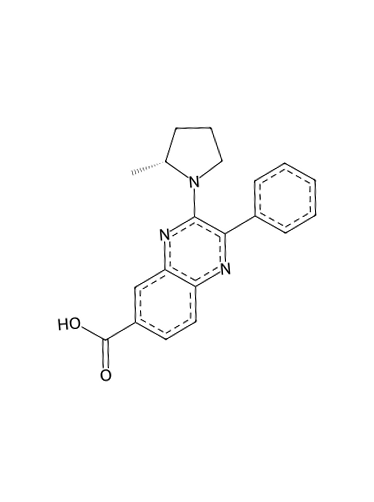 C[C@@H]1CCCN1c1nc2cc(C(=O)O)ccc2nc1-c1ccccc1